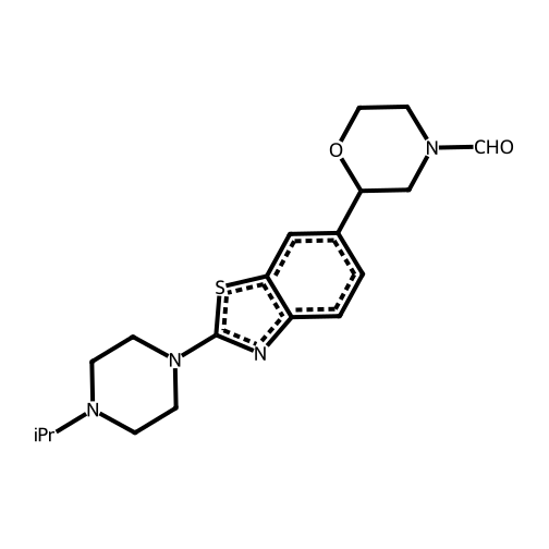 CC(C)N1CCN(c2nc3ccc(C4CN(C=O)CCO4)cc3s2)CC1